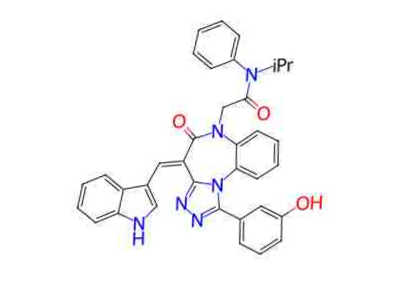 CC(C)N(C(=O)CN1C(=O)/C(=C/c2c[nH]c3ccccc23)c2nnc(-c3cccc(O)c3)n2-c2ccccc21)c1ccccc1